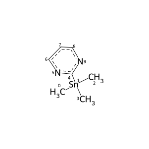 [CH3][Sn]([CH3])([CH3])[c]1ncccn1